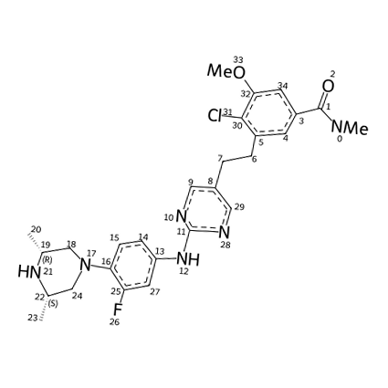 CNC(=O)c1cc(CCc2cnc(Nc3ccc(N4C[C@@H](C)N[C@@H](C)C4)c(F)c3)nc2)c(Cl)c(OC)c1